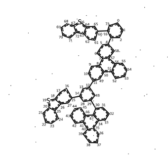 c1ccc(-c2ccc3c4ccc(-c5cc(-c6ccc7sc8ccccc8c7c6)cc(-c6cccc7c8ccccc8c8ccccc8c67)c5)cc4c4ccccc4c3c2)c(-c2ccc3c(c2)sc2ccccc23)c1